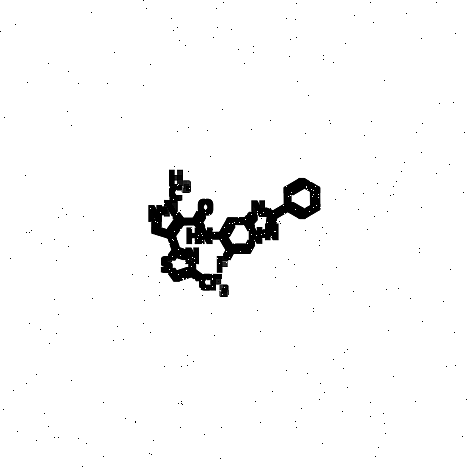 Cn1ncc(-c2nc(C(F)(F)F)cs2)c1C(=O)Nc1cc2nc(-c3ccccc3)nn2cc1F